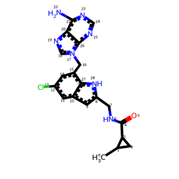 CC1CC1C(=O)NCc1cc2cc(Cl)cc(Cn3cnc4c(N)ncnc43)c2[nH]1